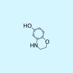 Oc1ccc2c(c1)NCCO2